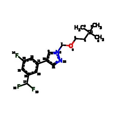 C[Si](C)(C)CCOCn1cc(-c2cc(F)cc(C(F)F)c2)cn1